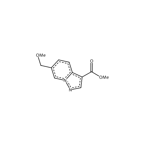 COCc1ccc2c(C(=O)OC)cnn2c1